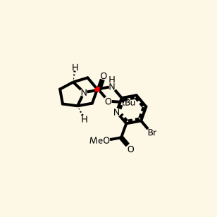 COC(=O)c1nc(NC2C[C@H]3CC[C@@H](C2)N3C(=O)OC(C)(C)C)ccc1Br